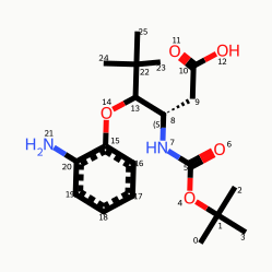 CC(C)(C)OC(=O)N[C@@H](CC(=O)O)C(Oc1ccccc1N)C(C)(C)C